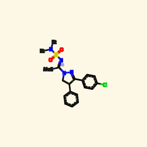 CCN(CC)S(=O)(=O)/N=C(\SC)N1CC(c2ccccc2)C(c2ccc(Cl)cc2)=N1